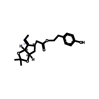 C/C=C1\[C@@H](CC(=O)OCCc2ccc(O)cc2)C[C@@H]2OC(C)(C)O[C@H]12